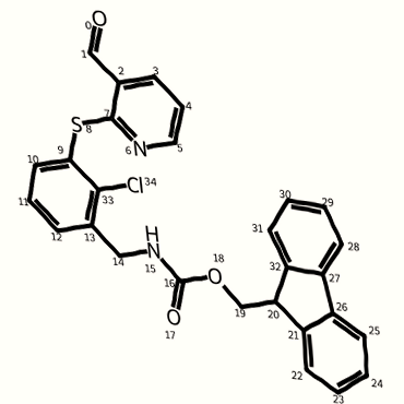 O=Cc1cccnc1Sc1cccc(CNC(=O)OCC2c3ccccc3-c3ccccc32)c1Cl